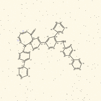 C=C1/C=C\C=C/N(c2ccc(-c3ccccc3)cc2)c2ccc(-c3ccc(Nc4ccc(-c5ccccc5)cc4)c(-c4ccccc4)c3)cc21